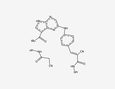 CCCNC(=O)/C(C#N)=C/c1ccc(Nc2cnc3[nH]cc(C(=O)C(C)(C)C)c3n2)cc1.CCCNC(=O)CC#N